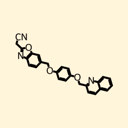 N#CCc1nc2ccc(COc3ccc(OCc4ccc5ccccc5n4)cc3)cc2o1